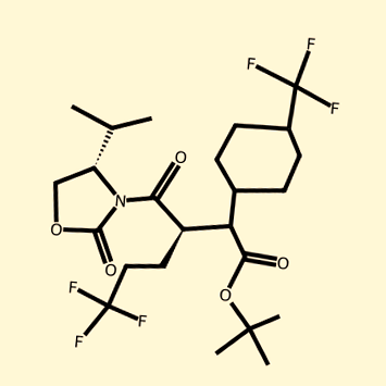 CC(C)[C@H]1COC(=O)N1C(=O)[C@H](CCC(F)(F)F)C(C(=O)OC(C)(C)C)C1CCC(C(F)(F)F)CC1